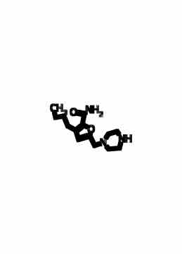 CCCCc1cc(CN2CCNCC2)oc1C(N)=O